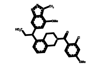 COc1ccc(C(=O)N2CCc3c(cccc3C(CC(=O)O)c3cc(OC)c4c(c3)nnn4C)C2)c(Cl)c1